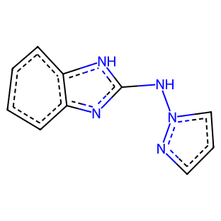 c1ccc2[nH]c(Nn3cccn3)nc2c1